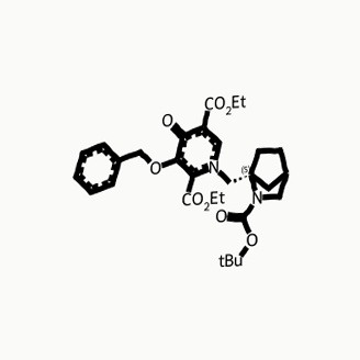 CCOC(=O)c1cn(C[C@@]23CCC(CN2C(=O)OC(C)(C)C)C3)c(C(=O)OCC)c(OCc2ccccc2)c1=O